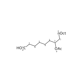 CCCCCCCCCC(CCCCCC(=O)O)OC(C)=O